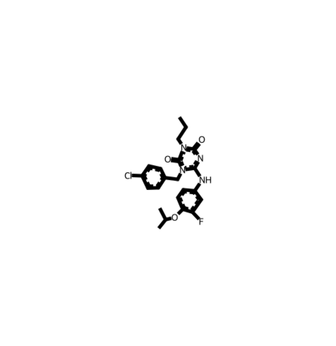 CCCn1c(=O)nc(Nc2ccc(OC(C)C)c(F)c2)n(Cc2ccc(Cl)cc2)c1=O